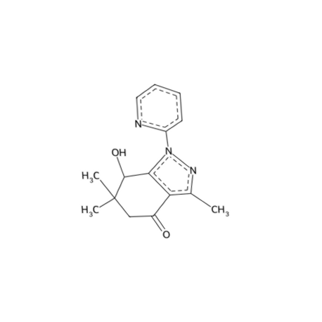 Cc1nn(-c2ccccn2)c2c1C(=O)CC(C)(C)C2O